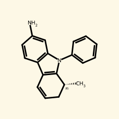 C[C@@H]1CC=Cc2c1n(-c1ccccc1)c1cc(N)ccc21